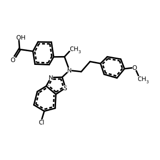 COc1ccc(CCN(c2nc3ccc(Cl)cc3s2)C(C)c2ccc(C(=O)O)cc2)cc1